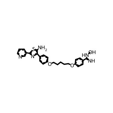 N=C(NO)c1ccc(OCCCCCOc2ccc(-c3nc(-c4cccnc4)sc3N)cc2)cc1